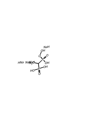 CC(P(=O)(O)O)P(=O)(O)OO.[NaH].[NaH].[NaH].[NaH]